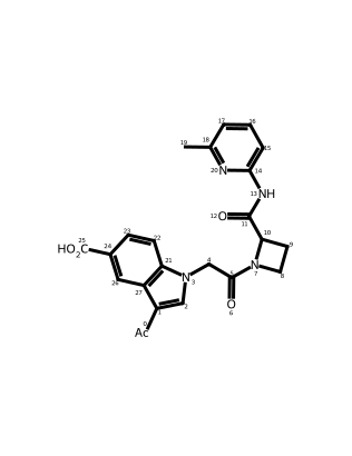 CC(=O)c1cn(CC(=O)N2CCC2C(=O)Nc2cccc(C)n2)c2ccc(C(=O)O)cc12